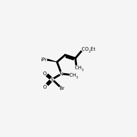 CCOC(=O)/C(C)=C/[C@H](C(C)C)N(C)S(=O)(=O)Br